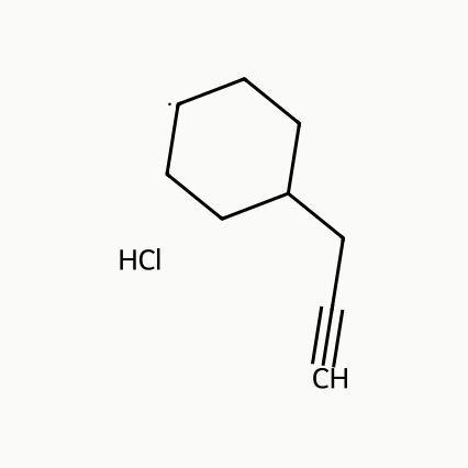 C#CCC1CC[CH]CC1.Cl